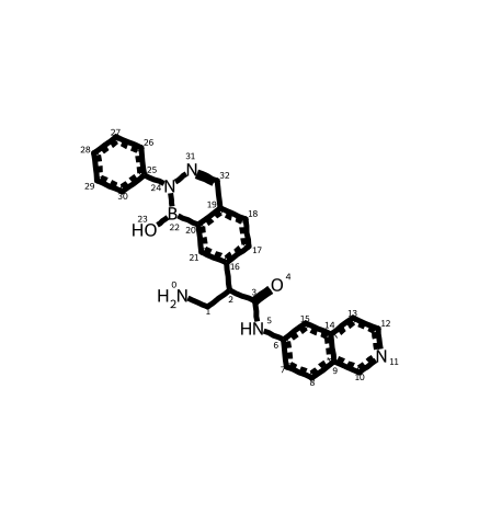 NCC(C(=O)Nc1ccc2cnccc2c1)c1ccc2c(c1)B(O)N(c1ccccc1)N=C2